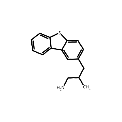 CC(CN)Cc1ccc2sc3ccccc3c2c1